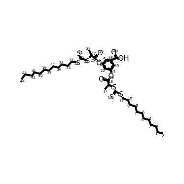 CCCCCCCCCCCCSC(=S)SC(C)C(=O)Oc1cc(OC(=O)C(C)SC(=S)SCCCCCCCCCCCC)cc(C(=O)O)c1